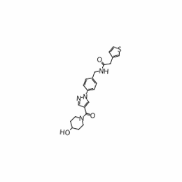 O=C(Cc1ccsc1)NCc1ccc(-n2cc(C(=O)N3CCC(O)CC3)cn2)cc1